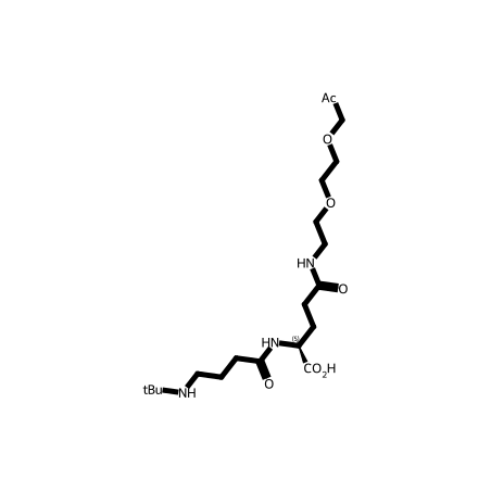 CC(=O)COCCOCCNC(=O)CC[C@H](NC(=O)CCCNC(C)(C)C)C(=O)O